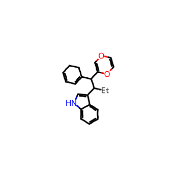 [CH2]CC(c1c[nH]c2ccccc12)C(C1=CC=CCC1)C1=COC=CO1